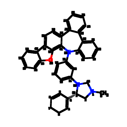 CN1C[C@H](C2=CCCC=C2)N(c2cccc(N3c4ccccc4-c4ccccc4-c4ccc5c(oc6ccccc65)c43)c2)C1